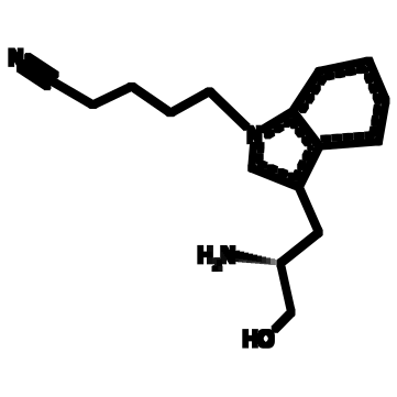 N#CCCCCn1cc(C[C@@H](N)CO)c2ccccc21